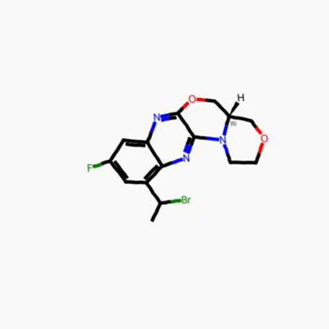 CC(Br)c1cc(F)cc2nc3c(nc12)N1CCOC[C@H]1CO3